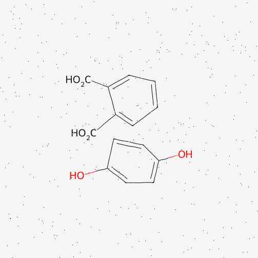 O=C(O)c1ccccc1C(=O)O.Oc1ccc(O)cc1